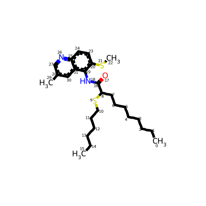 CCCCCCCCC(SCCCCCC)C(=O)Nc1c(SC)ccc2ncc(C)cc12